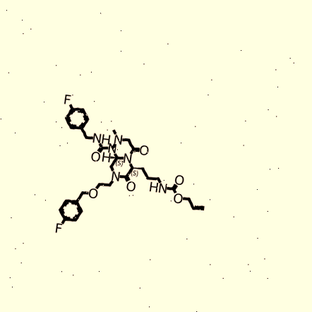 C=CCOC(=O)NCCC[C@H]1C(=O)N(CCOCc2ccc(F)cc2)C[C@H]2N1C(=O)CN(C)N2C(=O)NCc1ccc(F)cc1